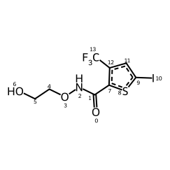 O=C(NOCCO)c1sc(I)cc1C(F)(F)F